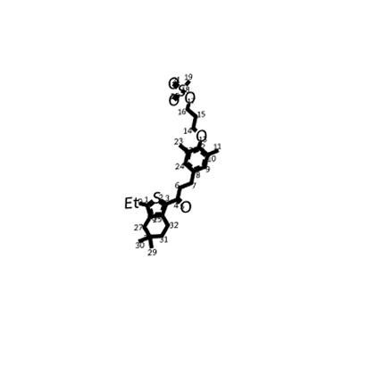 CCc1sc(C(=O)CCc2cc(C)c(OCCCOS(C)(=O)=O)c(C)c2)c2c1CC(C)(C)CC2